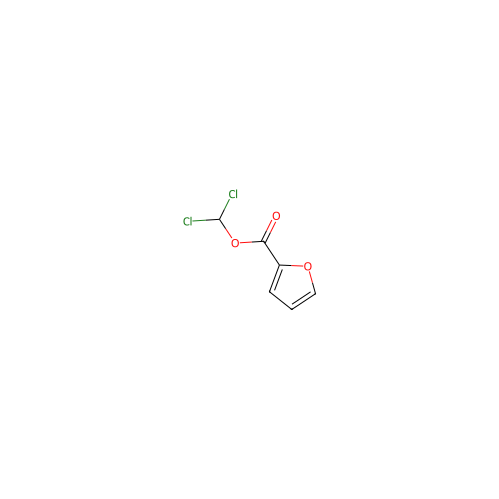 O=C(OC(Cl)Cl)c1ccco1